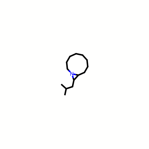 CC(C)CC1C2CCCCCCCCN21